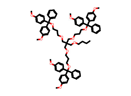 [CH2]CCCOCC(COCCCOC(c1ccccc1)(c1ccc(OC)cc1)c1ccc(OC)cc1)(COCCCOC(c1ccccc1)(c1ccc(OC)cc1)c1ccc(OC)cc1)COCCCOC(c1ccccc1)(c1ccc(OC)cc1)c1ccc(OC)cc1